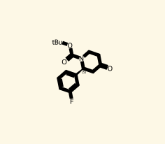 CC(C)(C)OC(=O)N1CCC(=O)C[C@H]1c1cccc(F)c1